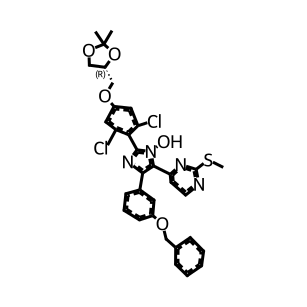 CSc1nccc(-c2c(-c3cccc(OCc4ccccc4)c3)nc(-c3c(Cl)cc(OC[C@@H]4COC(C)(C)O4)cc3Cl)n2O)n1